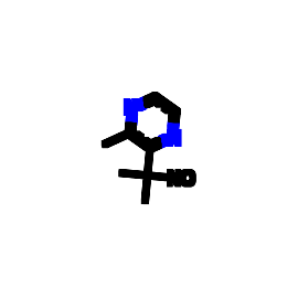 Cc1nccnc1C(C)(C)N=O